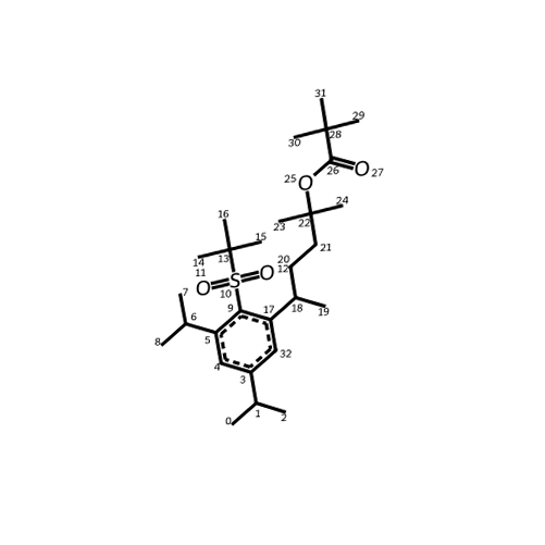 CC(C)c1cc(C(C)C)c(S(=O)(=O)C(C)(C)C)c(C(C)CCC(C)(C)OC(=O)C(C)(C)C)c1